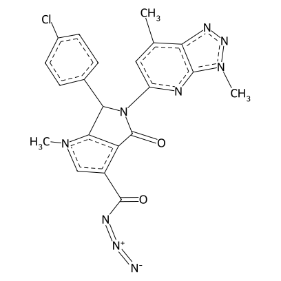 Cc1cc(N2C(=O)c3c(C(=O)N=[N+]=[N-])cn(C)c3C2c2ccc(Cl)cc2)nc2c1nnn2C